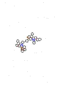 c1ccc(N(c2ccc3sc4cc(-c5ccc(-c6cc7ccccc7c7ccccc67)c(N(c6ccccc6-c6ccc7ccccc7c6)c6cccc7c6sc6ccccc67)c5)ccc4c3c2)c2ccccc2-c2cc3ccccc3c3ccccc23)c(-c2ccc3ccccc3c2)c1